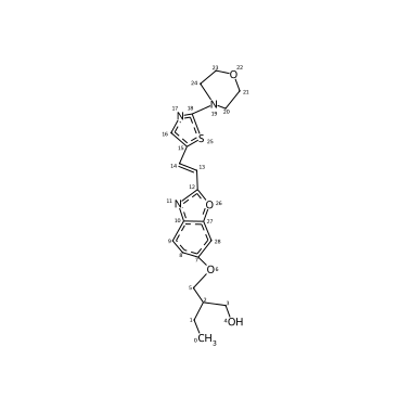 CCC(CO)COc1ccc2nc(/C=C/c3cnc(N4CCOCC4)s3)oc2c1